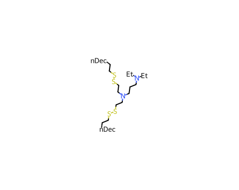 CCCCCCCCCCCCSSCCN(CCCN(CC)CC)CCSSCCCCCCCCCCCC